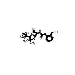 CC1(C)SC2C(NC(=O)Cc3ccccc3CO)C(=O)N2C1c1nnn[nH]1